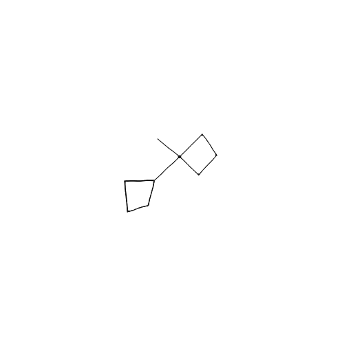 [O]C1(C2CCC2)CCC1